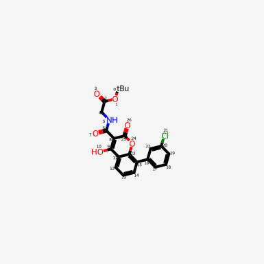 CC(C)(C)OC(=O)CNC(=O)c1c(O)c2cccc(-c3cccc(Cl)c3)c2oc1=O